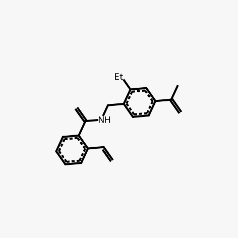 C=Cc1ccccc1C(=C)NCc1ccc(C(=C)C)cc1CC